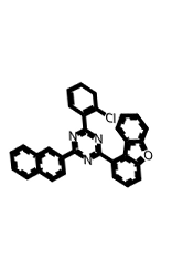 ClC1=C(c2nc(-c3ccc4ccccc4c3)nc(-c3cccc4oc5ccccc5c34)n2)C=CCC1